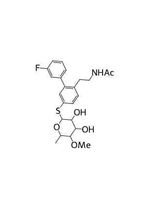 COC1C(C)OC(Sc2ccc(CCNC(C)=O)c(-c3cccc(F)c3)c2)C(O)C1O